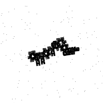 COc1cc2c(cc1OC)N(CC(=O)NCc1ccc(Nc3nc4ccccc4[nH]3)cc1)C(=O)CC[C]2